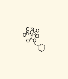 O=C(OCc1ccccc1)N([N+](=O)[O-])S(=O)(=O)Cl